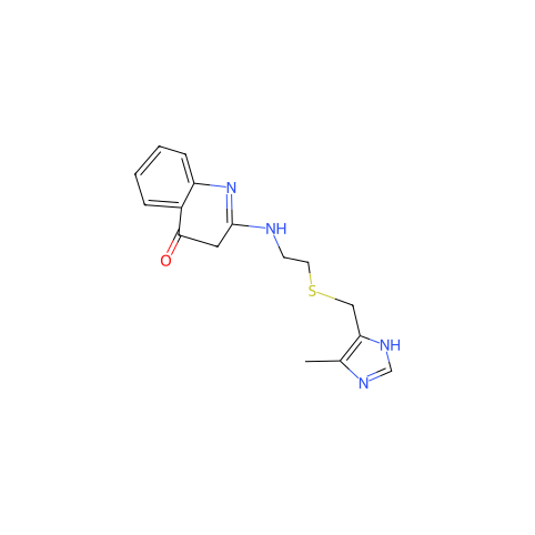 Cc1nc[nH]c1CSCCNC1=Nc2ccccc2C(=O)C1